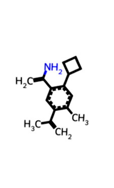 C=C(C)c1cc(C(=C)N)c(C2CCC2)cc1C